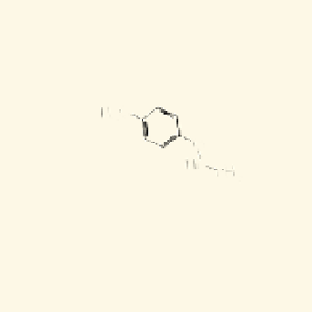 Cc1ccc(OPP)cc1